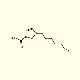 CCCCCCN1C=CN(C(C)=O)C1